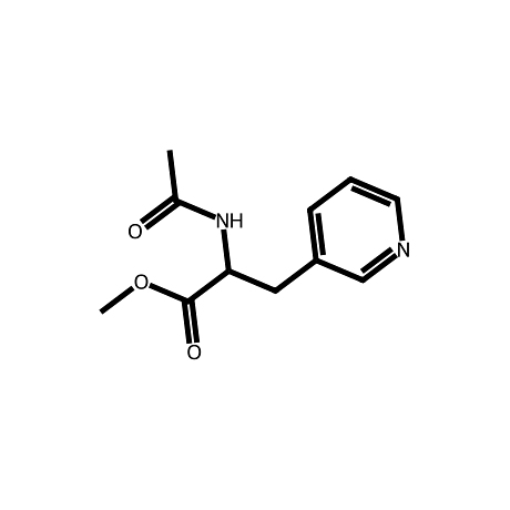 COC(=O)C(Cc1cccnc1)NC(C)=O